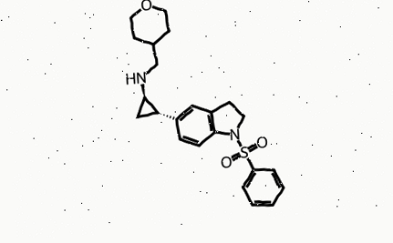 O=S(=O)(c1ccccc1)N1CCc2cc([C@@H]3C[C@H]3NCC3CCOCC3)ccc21